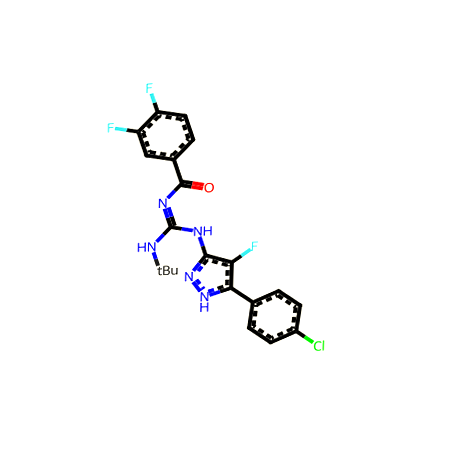 CC(C)(C)N/C(=N/C(=O)c1ccc(F)c(F)c1)Nc1n[nH]c(-c2ccc(Cl)cc2)c1F